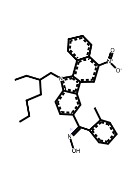 CCCCC(CC)Cn1c2ccc(/C(=N/O)c3ccccc3C)cc2c2cc([N+](=O)[O-])c3ccccc3c21